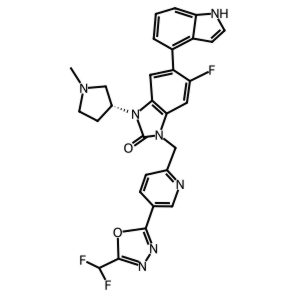 CN1CC[C@@H](n2c(=O)n(Cc3ccc(-c4nnc(C(F)F)o4)cn3)c3cc(F)c(-c4cccc5[nH]ccc45)cc32)C1